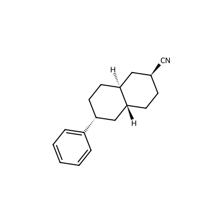 N#C[C@H]1CC[C@@H]2C[C@H](c3ccccc3)CC[C@H]2C1